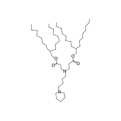 CCCCCCCCC(CCCCCCCC)COC(=O)CCN(CCCCN1CCCCC1)CCC(=O)OCC(CCCCCCCC)CCCCCCCC